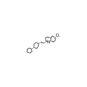 COc1ccc2nc(/C=C/c3ccc(-c4ccccc4)cc3)ccc2c1